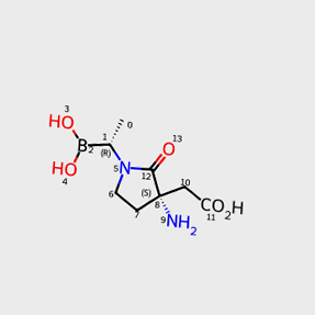 C[C@@H](B(O)O)N1CC[C@](N)(CC(=O)O)C1=O